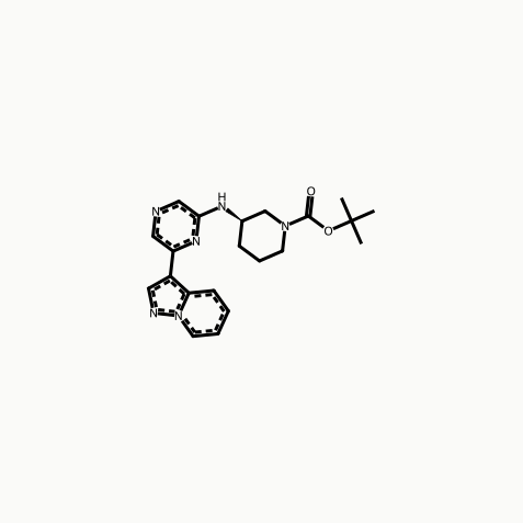 CC(C)(C)OC(=O)N1CCC[C@@H](Nc2cncc(-c3cnn4ccccc34)n2)C1